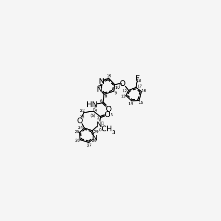 CN1C(=O)[C@@H](NC(=O)c2cc(Oc3ccccc3F)cnn2)COc2cccnc21